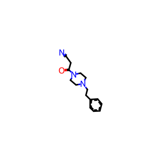 N#CCC(=O)N1CCN(CCc2ccccc2)CC1